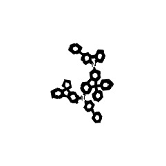 c1ccc(-c2ccc(N(c3ccc4c(c3)C3(CCCC3)c3ccccc3-4)c3ccc4c(c3)C(c3ccccc3)(c3ccccc3)c3ccc(-n5c6ccccc6c6cc(-c7ccccc7)ccc65)cc3-4)cc2)cc1